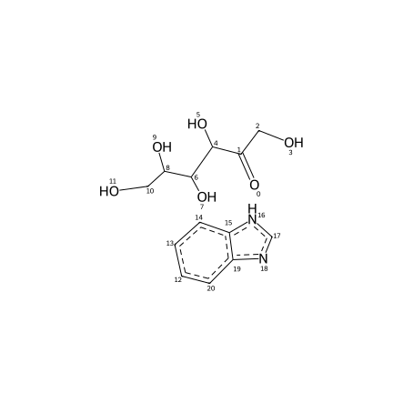 O=C(CO)C(O)C(O)C(O)CO.c1ccc2[nH]cnc2c1